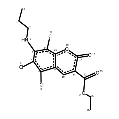 CCCNc1c(Cl)c(Cl)c2cc(C(=O)OCC)c(=O)oc2c1Cl